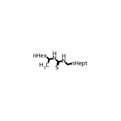 CCCCCCCCNC(=S)NC(C)CCCCCC